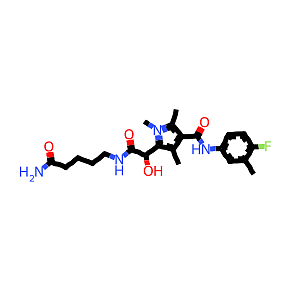 Cc1cc(NC(=O)c2c(C)c(C(O)C(=O)NCCCCC(N)=O)n(C)c2C)ccc1F